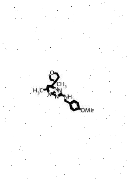 COc1ccc(CNc2nc3nc(C)cc(C4(C)CCOCC4)n3n2)cc1